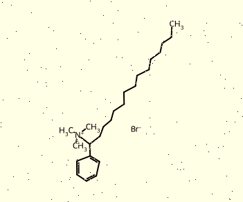 CCCCCCCCCCCCCCC(c1ccccc1)[N+](C)(C)C.[Br-]